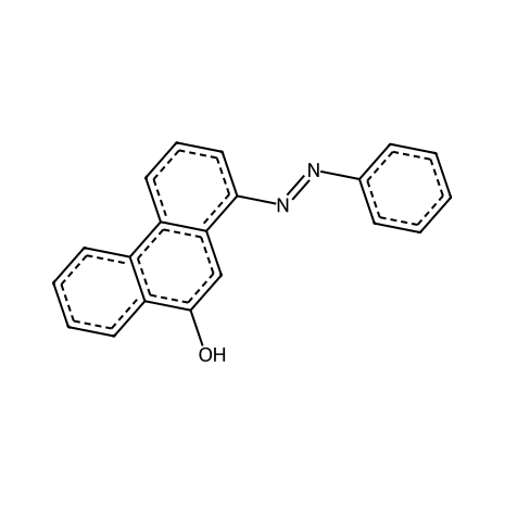 Oc1cc2c(N=Nc3ccccc3)cccc2c2ccccc12